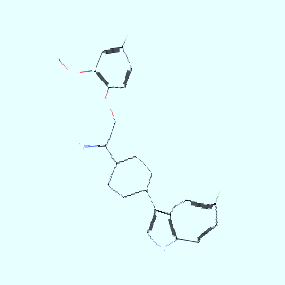 COc1cc(F)ccc1OCC(N)C1CCC(c2c[nH]c3ccc(F)cc23)CC1